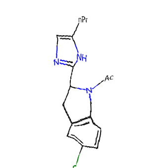 CCCc1cnc(C2Cc3cc(F)ccc3N2C(C)=O)[nH]1